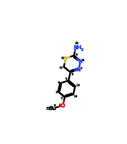 CCCCOc1ccc(C2=NN=C(N)SC2)cc1